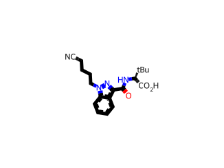 CC(C)(C)[C@H](NC(=O)c1nn(CCCCC#N)c2ccccc12)C(=O)O